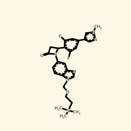 Cn1cc(-c2cc(F)c(C3CC(=O)N3c3ccc4c(c3)ncn4COCC[Si](C)(C)C)c(F)c2)cn1